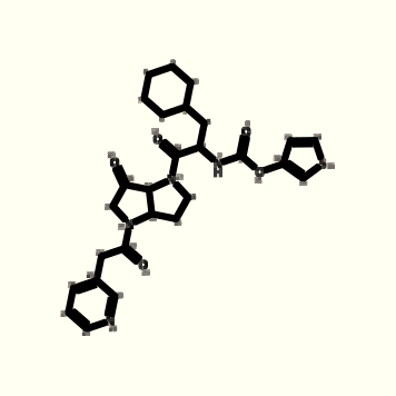 O=C(NC(CC1CCCCC1)C(=O)N1CCC2C1C(=O)CN2C(=O)Cc1cccnc1)Oc1ccsc1